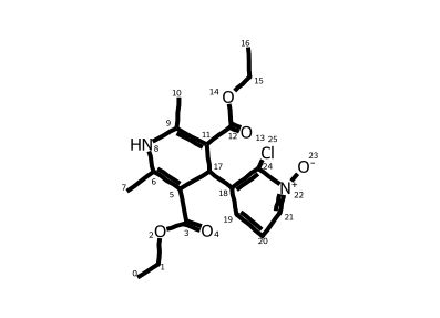 CCOC(=O)C1=C(C)NC(C)=C(C(=O)OCC)C1c1ccc[n+]([O-])c1Cl